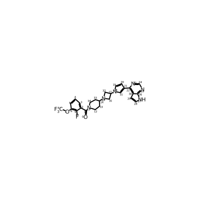 O=C(c1cccc(OC(F)(F)F)c1F)N1CCC(N2CC(n3ccc(-c4ncnc5[nH]ccc45)c3)C2)CC1